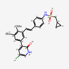 COc1c(C=Cc2ccc(NS(=O)(=O)CC3CC3)cc2)cc(-c2cc(F)c[nH]c2=O)cc1C(C)(C)C